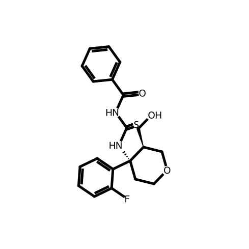 O=C(NC(=S)N[C@@]1(c2ccccc2F)CCOC[C@@H]1CO)c1ccccc1